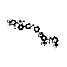 Cn1c(=O)n(C2CCC(=O)NC2=O)c2cccc(C3CCN(C[C@H]4CC[C@H](n5cc6cc(NC(=O)c7cccc(C(F)(F)F)n7)c(C(F)(F)F)cc6n5)CC4)CC3)c21